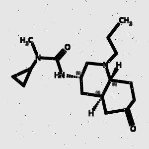 CCCN1C[C@@H](NC(=O)N(C)C2CC2)C[C@@H]2CC(=O)CC[C@H]21